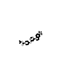 CC(C)OC(=O)N1CCC(Oc2cc(N3CCc4cc(S(C)(=O)=O)ccc43)ncn2)CC1